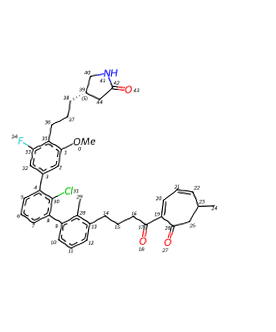 COc1cc(-c2cccc(-c3cccc(CCCC(=O)C4=CC=CC(C)CC4=O)c3C)c2Cl)cc(F)c1CCC[C@@H]1CNC(=O)C1